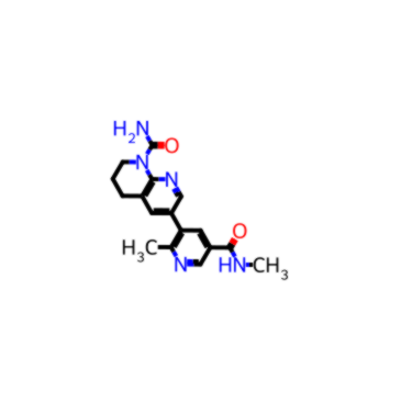 CNC(=O)c1cnc(C)c(-c2cnc3c(c2)CCCN3C(N)=O)c1